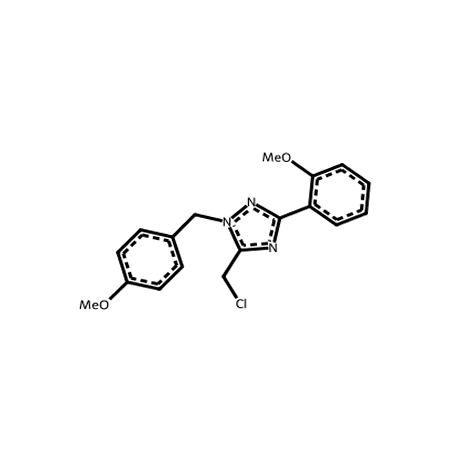 COc1ccc(Cn2nc(-c3ccccc3OC)nc2CCl)cc1